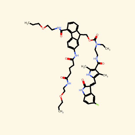 CCCOCCNC(=O)CCCC(=O)Nc1ccc2c(c1)C(COC(=O)N(CC)CCNC(=O)c1c(C)[nH]c(/C=C3\C(=O)Nc4ccc(F)cc43)c1C)c1cccc(C(=O)NCCOCCC)c1-2